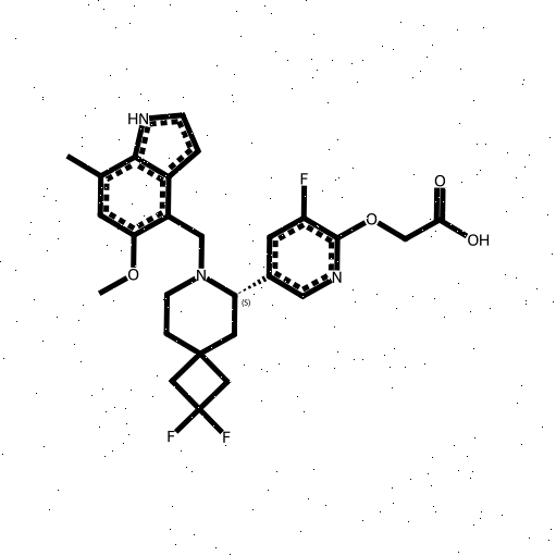 COc1cc(C)c2[nH]ccc2c1CN1CCC2(C[C@H]1c1cnc(OCC(=O)O)c(F)c1)CC(F)(F)C2